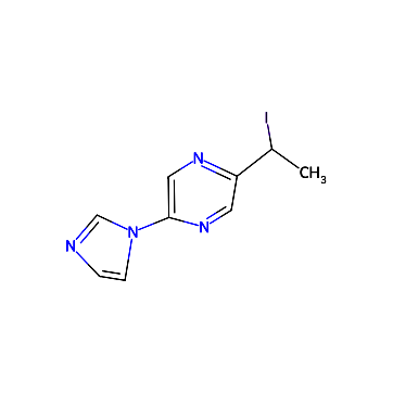 CC(I)c1cnc(-n2ccnc2)cn1